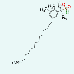 CCCCCCCCCCCCCCCCCCCCCCCc1cc(C)c(C)c(C(C)(C)S(=O)(=O)Cl)c1